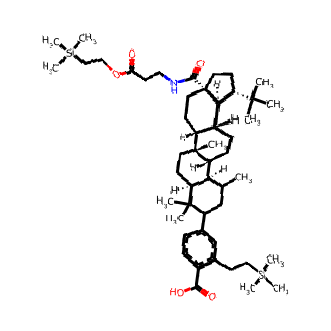 CC1CC(c2ccc(C(=O)O)c(CC[Si](C)(C)C)c2)C(C)(C)[C@H]2CC[C@]3(C)[C@@H]4CC[C@@]5(C(=O)NCCC(=O)OCC[Si](C)(C)C)CC[C@H](C(C)(C)C)[C@H]5[C@@H]4CC[C@@H]3[C@@H]12